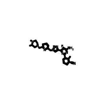 Cc1c(C#N)cccc1-c1nc(N)c(F)c(-c2cn(Cc3cccc(CN4CCN(C)C(C)C4)n3)nn2)n1